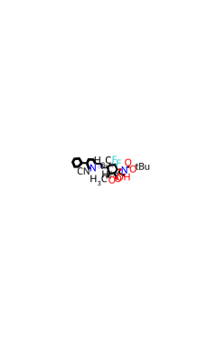 C[C@H]1OC(=O)[C@]2(C3(O)CN(C(=O)OC(C)(C)C)C3)CC(F)(F)[C@@H](C)[C@H](/C=C/c3ccc(-c4ccccc4C#N)cn3)[C@H]12